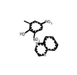 Cc1cc([N+](=O)[O-])cc([N+](=O)[O-])c1O.c1ccc2nccnc2c1